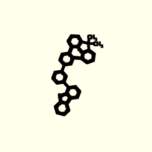 CC1(C)c2cccc3c4ccc(-c5cccc(-c6cccc7c6sc6ccccc67)c5)cc4c4cccc1c4c23